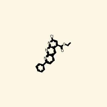 CCOC(=O)c1cc(Cl)nc2nc3nc(-c4ccccc4)ccc3cc12